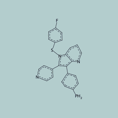 Fc1ccc(Sn2c(-c3ccncc3)c(-c3ccc(P)cc3)c3ncccc32)cc1